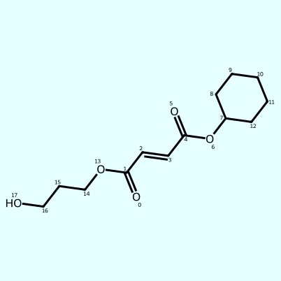 O=C(C=CC(=O)OC1CCCCC1)OCCCO